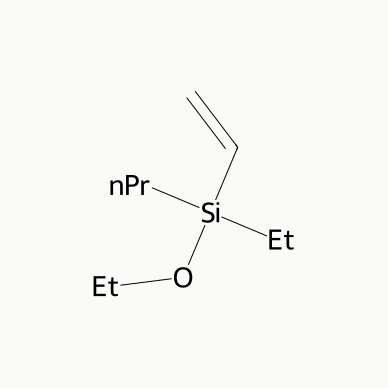 C=C[Si](CC)(CCC)OCC